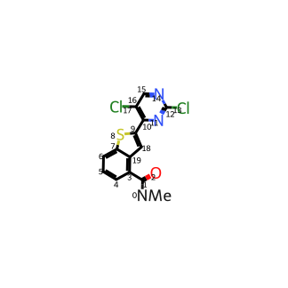 CNC(=O)c1cccc2sc(-c3nc(Cl)ncc3Cl)cc12